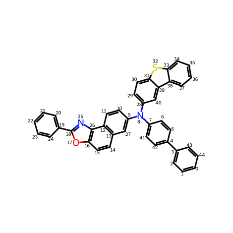 c1ccc(-c2ccc(N(c3ccc4c(ccc5oc(-c6ccccc6)nc54)c3)c3ccc4sc5ccccc5c4c3)cc2)cc1